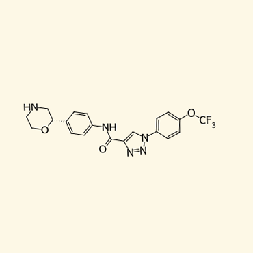 O=C(Nc1ccc([C@H]2CNCCO2)cc1)c1cn(-c2ccc(OC(F)(F)F)cc2)nn1